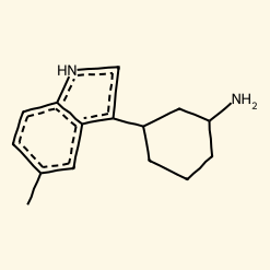 Cc1ccc2[nH]cc(C3CCCC(N)C3)c2c1